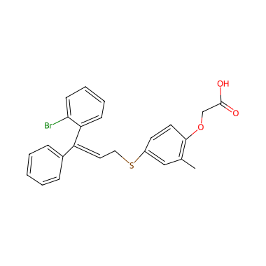 Cc1cc(SCC=C(c2ccccc2)c2ccccc2Br)ccc1OCC(=O)O